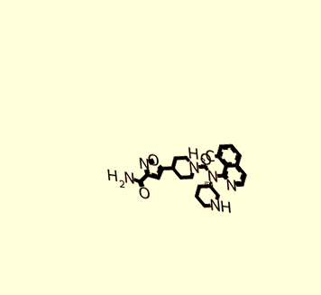 Cc1cccc2ccnc(N(C(=O)N3CCC(c4cc(C(N)=O)no4)CC3)[C@@H]3CCCNC3)c12